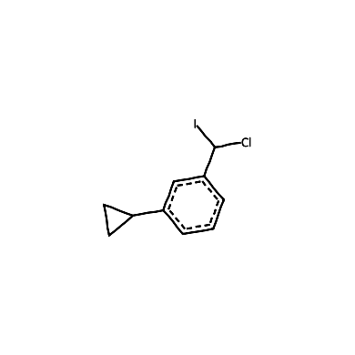 ClC(I)c1cccc(C2CC2)c1